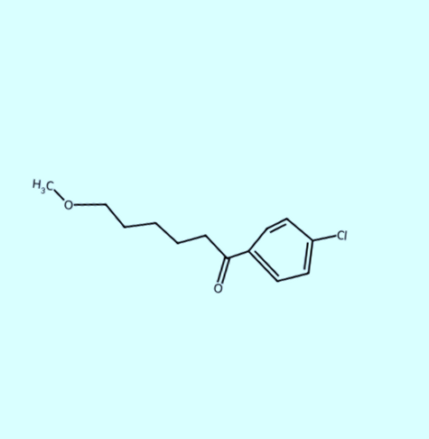 COCCCCCC(=O)c1ccc(Cl)cc1